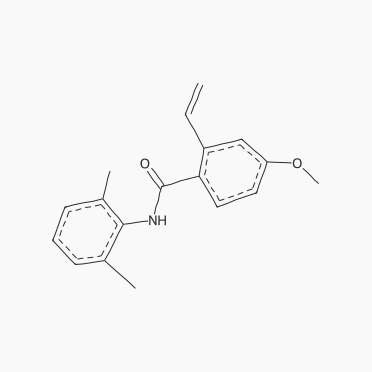 C=Cc1cc(OC)ccc1C(=O)Nc1c(C)cccc1C